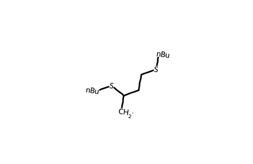 [CH2]C(CCSCCCC)SCCCC